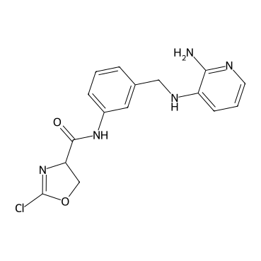 Nc1ncccc1NCc1cccc(NC(=O)C2COC(Cl)=N2)c1